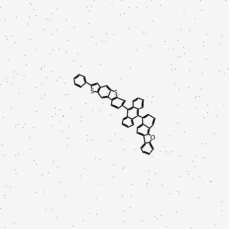 c1ccc(-c2cc3cc4sc5cc(-c6c7ccccc7c(-c7cccc8c7ccc7c9ccccc9oc87)c7ccccc67)ccc5c4cc3s2)cc1